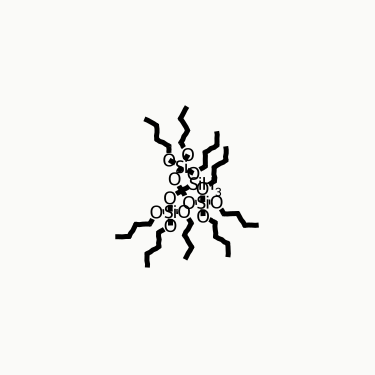 CCCCO[Si](OCCCC)(OCCCC)OC([SiH3])(O[Si](OCCCC)(OCCCC)OCCCC)O[Si](OCCCC)(OCCCC)OCCCC